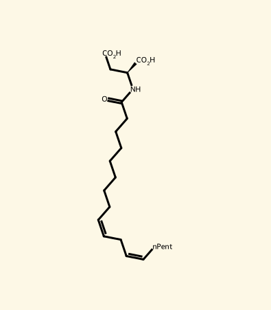 CCCCC/C=C\C/C=C\CCCCCCCC(=O)N[C@@H](CC(=O)O)C(=O)O